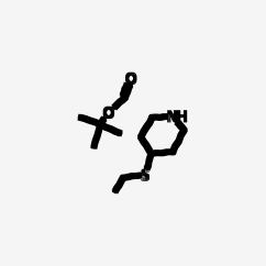 CC(C)(C)OC=O.CCSC1CCNCC1